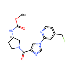 CC(C)(C)OC(=O)N[C@H]1CCN(C(=O)c2cn(-c3cc(CF)ccn3)cn2)C1